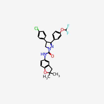 CC1(C)Cc2cc(NC(=O)N3CC(c4ccc(Cl)cc4)C(c4ccc(OC(F)F)cc4)=N3)ccc2O1